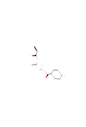 C=CC(=O)OC(C)ONC(=O)C1CCCCC1